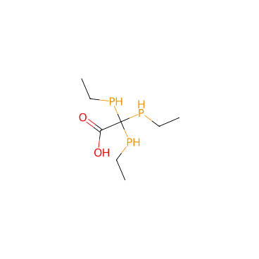 CCPC(PCC)(PCC)C(=O)O